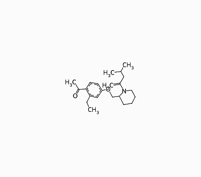 C=C(CC(C)C)N1CCCCC1COc1ccc(C(C)=O)c(CC)c1